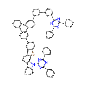 c1ccc(-c2nc(-c3ccccc3)nc(-c3cccc(-c4cccc(-c5ccc6c(c5)c5ccccc5c5ccc(-c7ccc8sc9c(ccc%10c%11ccccc%11n(-c%11nc(-c%12ccccc%12)nc(-c%12ccccc%12)n%11)c%109)c8c7)cc56)c4)c3)n2)cc1